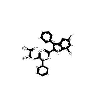 CC(C)[C@H](NC(=O)[C@@H](NC(=O)c1oc2c(Cl)cc(Cl)cc2c1-c1ccccc1)C1C=CC=CC1)C(=O)C(F)(F)F